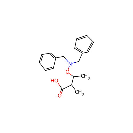 CC(ON(Cc1ccccc1)Cc1ccccc1)C(C)C(=O)O